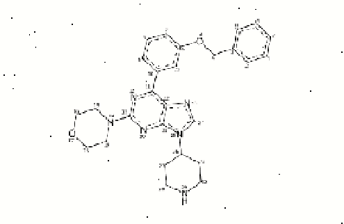 c1ccc(COc2cccc(-c3nc(N4CCOCC4)nc4c3ncn4C3CCNCC3)c2)cc1